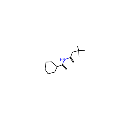 C=C(CC(C)(C)C)NC(=C)C1CCCCC1